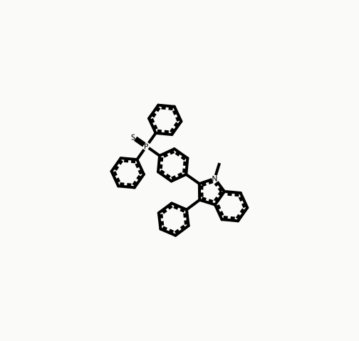 Cn1c(-c2ccc(P(=S)(c3ccccc3)c3ccccc3)cc2)c(-c2ccccc2)c2ccccc21